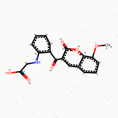 COc1cccc2cc(C(=O)c3ccccc3NCC(=O)O)c(=O)oc12